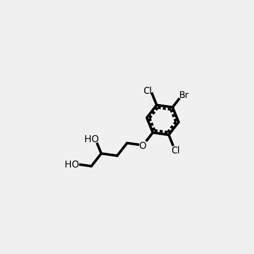 OCC(O)CCOc1cc(Cl)c(Br)cc1Cl